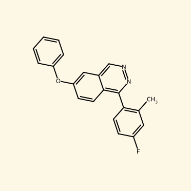 Cc1cc(F)ccc1-c1nncc2cc(Oc3ccccc3)ccc12